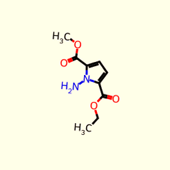 CCOC(=O)c1ccc(C(=O)OC)n1N